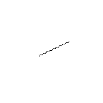 C[CH]CCC=CCC=CCC=CCC=CCCCCC